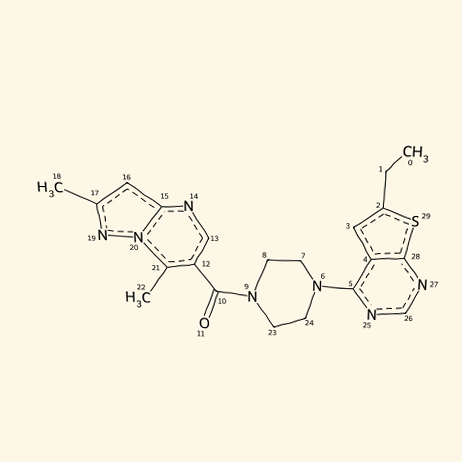 CCc1cc2c(N3CCN(C(=O)c4cnc5cc(C)nn5c4C)CC3)ncnc2s1